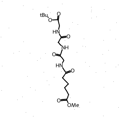 COC(=O)CCCCC(=O)NCC(=O)NCC(=O)NCC(=O)OC(C)(C)C